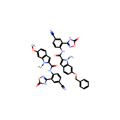 COc1ccc2cc(C(=O)Nc3ccc(C#N)cc3-c3noc(=O)[nH]3)n(C)c2c1.Cn1c(C(=O)Nc2ccc(C#N)cc2-c2noc(=O)[nH]2)cc2ccc(OCc3ccccc3)cc21